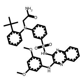 COc1cc(Nc2nc3ccccc3nc2NS(=O)(=O)c2cccc(N(CC(N)=O)c3ccccc3C(C)(C)C)c2)cc(OC)c1